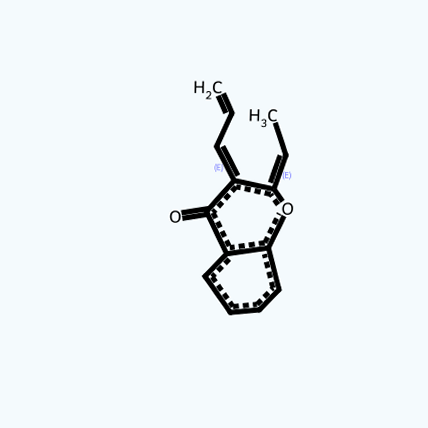 C=C/C=c1/c(=O)c2ccccc2o/c1=C/C